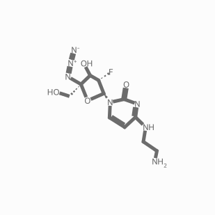 [N-]=[N+]=N[C@]1(CO)O[C@@H](n2ccc(NCCN)nc2=O)[C@@H](F)C1O